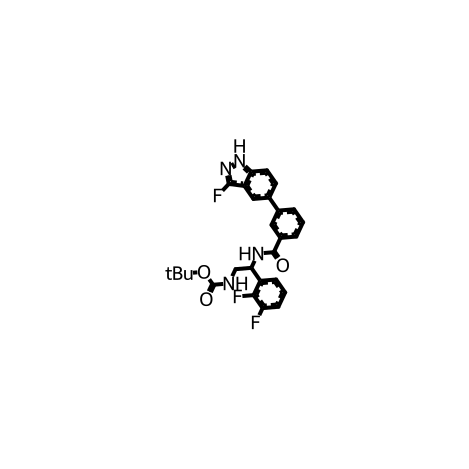 CC(C)(C)OC(=O)NCC(NC(=O)c1cccc(-c2ccc3[nH]nc(F)c3c2)c1)c1cccc(F)c1F